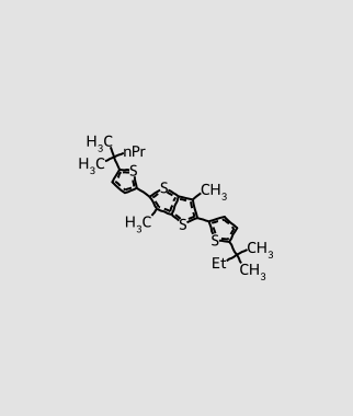 CCCC(C)(C)c1ccc(-c2sc3c(C)c(-c4ccc(C(C)(C)CC)s4)sc3c2C)s1